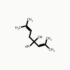 CCCC(C#N)(C=C(C)C)CC=C(C)C